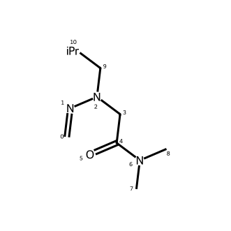 C=NN(CC(=O)N(C)C)CC(C)C